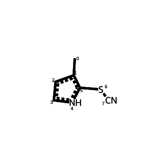 Cc1cc[nH]c1SC#N